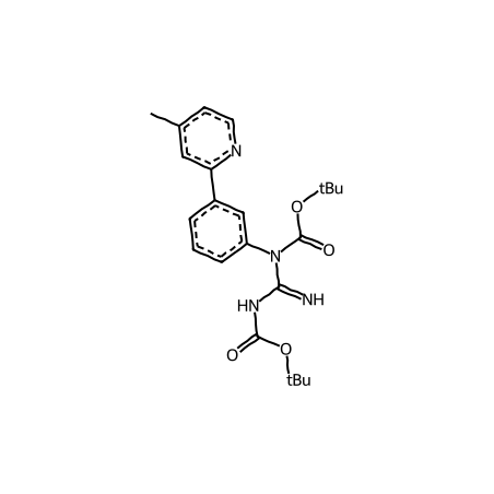 Cc1ccnc(-c2cccc(N(C(=N)NC(=O)OC(C)(C)C)C(=O)OC(C)(C)C)c2)c1